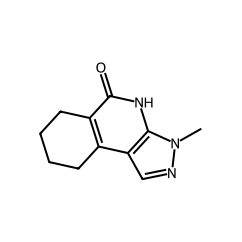 Cn1ncc2c3c(c(=O)[nH]c21)CCCC3